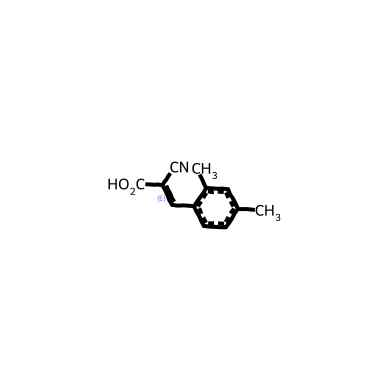 Cc1ccc(/C=C(\C#N)C(=O)O)c(C)c1